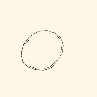 C1=C/C=C\C=C/CC/C=C\CC/C=C\C=1